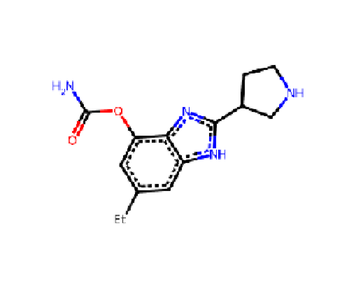 CCc1cc(OC(N)=O)c2nc(C3CCNC3)[nH]c2c1